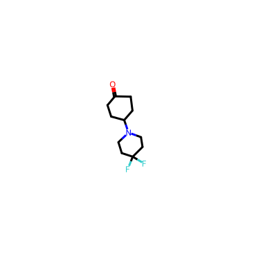 O=C1CCC(N2CCC(F)(F)CC2)CC1